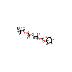 CCC(C)(C)C(=O)OCC(=O)OCC(=O)OCOC1CCCCC1